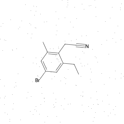 CCc1cc(Br)cc(C)c1CC#N